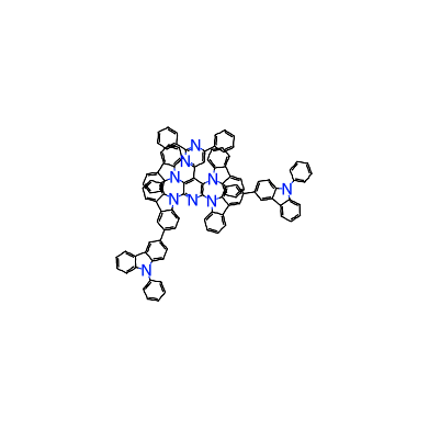 c1ccc(-c2cc(-c3c(-n4c5ccccc5c5ccccc54)c(-n4c5ccccc5c5cc(-c6ccc7c(c6)c6ccccc6n7-c6ccccc6)ccc54)nc(-n4c5ccccc5c5cc(-c6ccc7c(c6)c6ccccc6n7-c6ccccc6)ccc54)c3-n3c4ccccc4c4ccccc43)nc(-c3ccccc3)n2)cc1